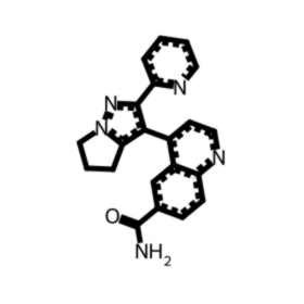 NC(=O)c1ccc2nccc(-c3c(-c4ccccn4)nn4c3CCC4)c2c1